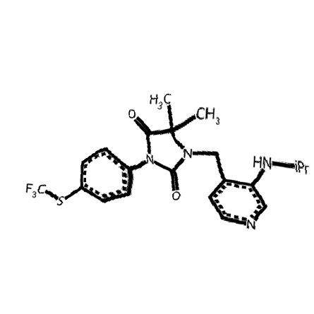 CC(C)Nc1cnccc1CN1C(=O)N(c2ccc(SC(F)(F)F)cc2)C(=O)C1(C)C